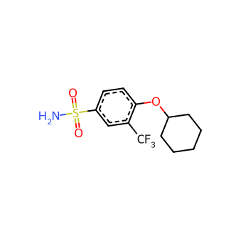 NS(=O)(=O)c1ccc(OC2CCCCC2)c(C(F)(F)F)c1